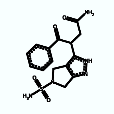 NC(=O)CC(C(=O)c1ccccc1)c1[nH]nc2c1CN(S(N)(=O)=O)C2